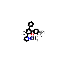 Cc1cc(-c2ccccc2)c2c(oc3c(C#N)c(C(C)C)ccc32)c1-c1cccc[n+]1C